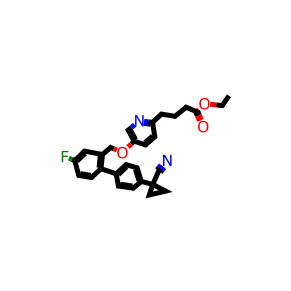 CCOC(=O)CCCc1ccc(OCc2cc(F)ccc2-c2ccc(C3(C#N)CC3)cc2)cn1